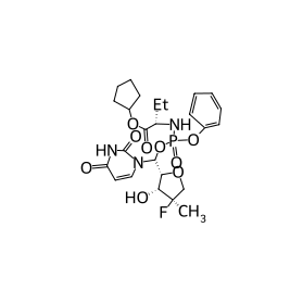 CC[C@H](NP(=O)(Oc1ccccc1)OC([C@@H]1OC[C@@](C)(F)[C@@H]1O)n1ccc(=O)[nH]c1=O)C(=O)OC1CCCC1